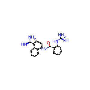 N=C(N)Nc1ccccc1C(=O)Nc1ccc(C(=N)N)c2ccccc12